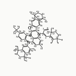 C=C/C(=C\C1=C(C)C(C)(C)CCC1(C)C)N1c2cc(C)cc3c2B(c2cc(C(C)(C)C)ccc2N3c2cc3c(cc2C)C(C)(C)CCC3(C)C)c2oc3cc4c(cc3c21)C1(C)CCC4(C)CC1